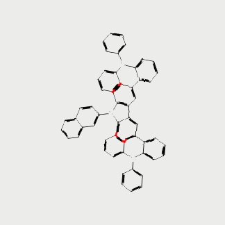 c1ccc(N(c2ccccc2)c2ccccc2-c2ccc3c(c2)c2cc(-c4ccccc4N(c4ccccc4)c4ccccc4)ccc2n3-c2ccc3ccccc3c2)cc1